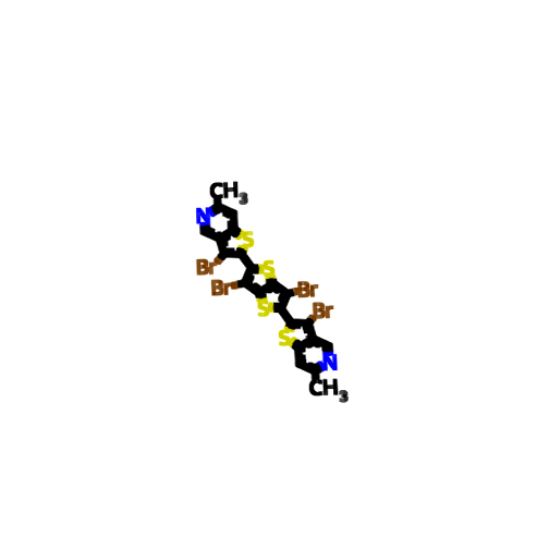 Cc1cc2sc(-c3sc4c(Br)c(-c5sc6cc(C)ncc6c5Br)sc4c3Br)c(Br)c2cn1